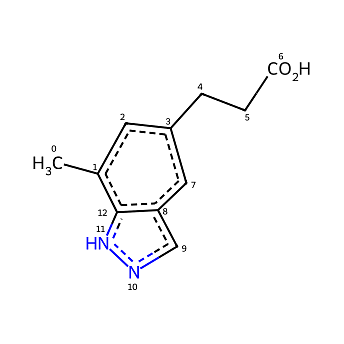 Cc1cc(CCC(=O)O)cc2cn[nH]c12